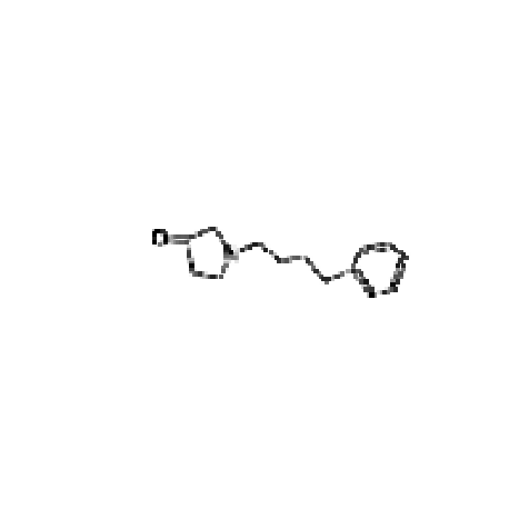 O=C1CCN(CCCCc2ccccc2)C1